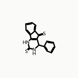 S=C1NC2=C(C(=S)c3ccccc32)C(c2ccccc2)N1